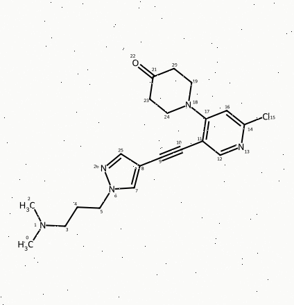 CN(C)CCCn1cc(C#Cc2cnc(Cl)cc2N2CCC(=O)CC2)cn1